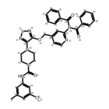 Cc1cc(NC(=O)N2CCN(c3nsnc3OCc3ccnc(N(C(=O)c4ccccc4)C(=O)c4ccccc4)c3)CC2)cc(C(F)(F)F)c1